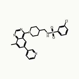 Cc1cc(-c2cccnc2)cc2c(N3CCC(CNS(=O)(=O)c4cccc(Cl)c4)CC3)ncnc12